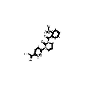 O=C(O)c1ccc(N2C=CCN(C(=O)c3ccccc3[N+](=O)[O-])C2=O)nn1